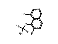 [2H]C([2H])([2H])Oc1c(F)ccc2cccc(Br)c12